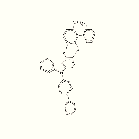 Cc1ccccc1-c1c(C)ccc2c1Sc1ccc3c(c1S2)c1ccccc1n3-c1ccc(-c2ccccc2)cc1